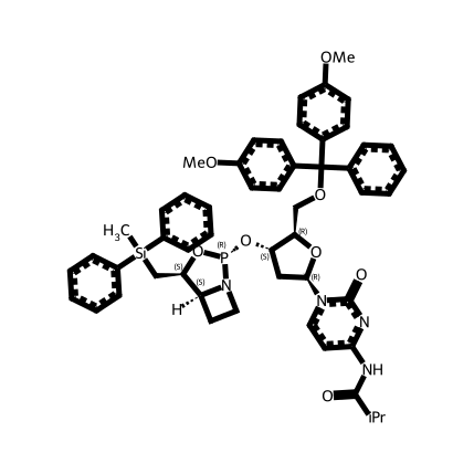 COc1ccc(C(OC[C@H]2O[C@@H](n3ccc(NC(=O)C(C)C)nc3=O)C[C@@H]2O[P@@]2O[C@H](C[Si](C)(c3ccccc3)c3ccccc3)[C@@H]3CCN32)(c2ccccc2)c2ccc(OC)cc2)cc1